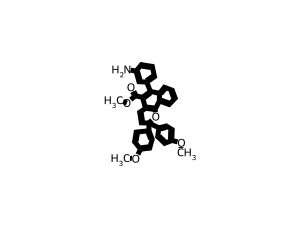 COC(=O)c1c2c(c3ccccc3c1-c1cccc(N)c1)OC(c1ccc(OC)cc1)(c1ccc(OC)cc1)C=C2